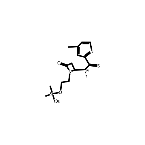 Cc1ccnc(C(=S)[C@H](C)C2CC(=O)N2CCO[Si](C)(C)C(C)(C)C)c1